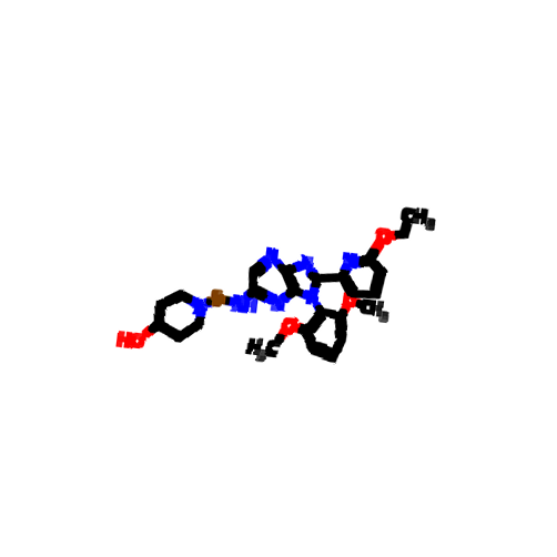 CCOc1cccc(-c2nc3ncc(NSN4CCC(O)CC4)nc3n2-c2c(OC)cccc2OC)n1